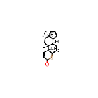 C[C@@]12CCC[C@H]1[C@@H]1CCC3SC(=O)C=C[C@]3(C)[C@@H]1CC2